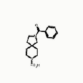 O=C(O)N1CCC2(CC1)CCN(C(=O)c1ccccc1)C2